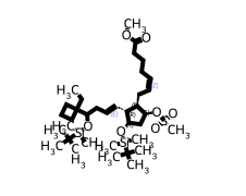 CCC1(C(C/C=C/[C@@H]2[C@@H](C/C=C\CCCC(=O)OC)[C@@H](OS(C)(=O)=O)C[C@H]2O[Si](C)(C)C(C)(C)C)O[Si](C)(C)C(C)(C)C)CCC1